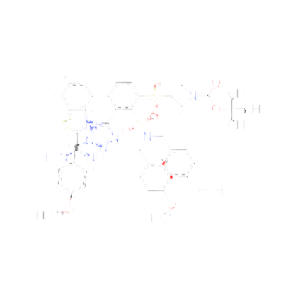 COc1ccc(CN(Cc2ccc(OC)cc2)S(=O)(=O)c2c(S(=O)(=O)C3CN(C(=O)OC(C)(C)C)C3)ccc(-c3cccc4sc(C(=N)N)nc34)c2-c2nnn(Cc3ccc(OC)cc3)n2)cc1